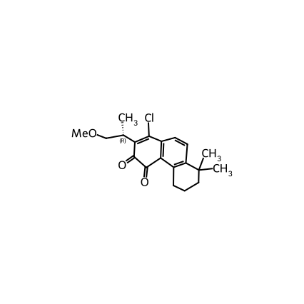 COC[C@H](C)C1=C(Cl)c2ccc3c(c2C(=O)C1=O)CCCC3(C)C